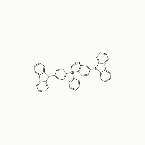 C=C[Si](c1ccccc1)(c1ccc(C2c3ccccc3-c3ccccc32)cc1)c1ccc(-n2c3ccccc3c3ccccc32)cc1